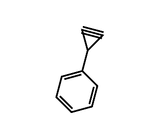 C1#CC1c1ccccc1